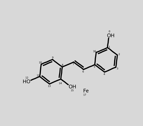 Oc1cccc(C=Cc2ccc(O)cc2O)c1.[Fe]